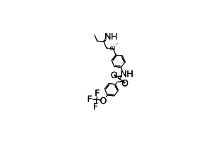 CCC(=N)C[C@H](C)c1ccc(NS(=O)(=O)c2ccc(OC(F)(F)F)cc2)cc1